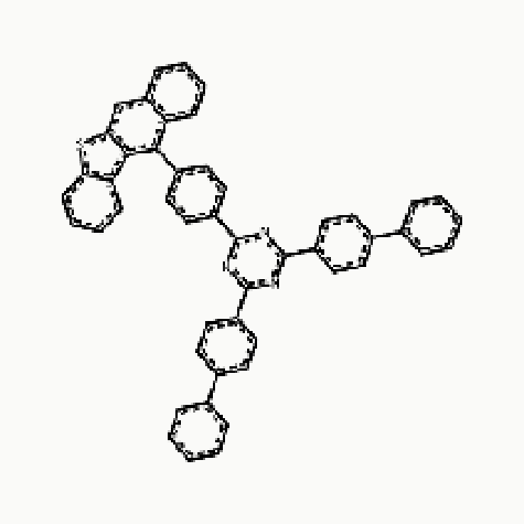 c1ccc(-c2ccc(-c3nc(-c4ccc(-c5ccccc5)cc4)nc(-c4ccc(-c5c6ccccc6cc6sc7ccccc7c56)cc4)n3)cc2)cc1